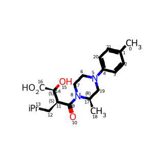 Cc1ccc(N2CCN(C(=O)[C@@H](CC(C)C)[C@H](O)C(=O)O)[C@H](C)C2)cc1